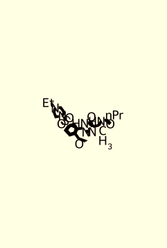 CCCC(=O)NC(C)c1nnc(-c2cc(S(=O)(=O)N3CCN(CC)CC3)ccc2C2CO2)[nH]c1=O